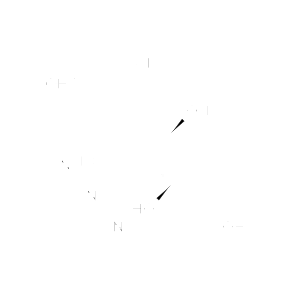 O=C[C@H](O)[C@@H](O)[C@@H](O)[C@H](O)CO.[N-]=[N+]=[N-]